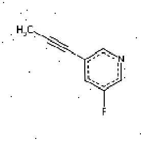 CC#Cc1cncc(F)c1